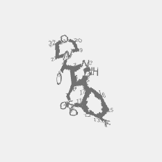 O=C(c1n[nH]c2c1CS(=O)(=O)c1cc(F)ccc1-2)N1CCOCC1